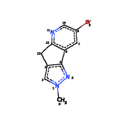 Cn1cc2c(n1)-c1cc(Br)cnc1C2